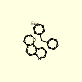 [Eu].c1ccc(Cc2ccccc2)cc1.c1cnc2c(c1)ccc1ncccc12